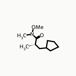 CON(C)C(=O)[C@@H](C)CC1CCCC1